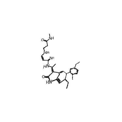 CCc1ccc(C)c(C2C=C3C(=CC2CC)NC(=O)/C3=C(/C)NC(=N)/C=C\NCCC(=O)NC)c1